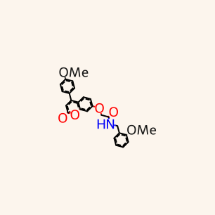 COc1ccc(-c2cc(=O)oc3cc(OCC(=O)NCc4ccccc4OC)ccc23)cc1